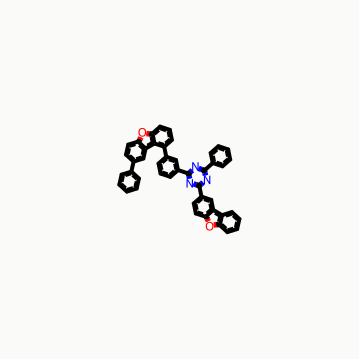 c1ccc(-c2ccc3oc4cccc(-c5cccc(-c6nc(-c7ccccc7)nc(-c7ccc8oc9ccccc9c8c7)n6)c5)c4c3c2)cc1